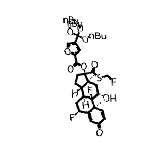 CCCCOC(OCCCC)(OCCCC)c1coc(C(=O)O[C@]2(C(=O)SCF)CC[C@H]3[C@@H]4C[C@H](F)C5=CC(=O)C=C[C@]5(C)[C@@]4(F)[C@@H](O)C[C@@]32C)c1